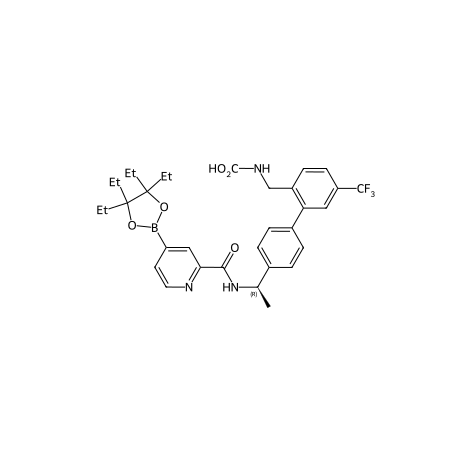 CCC1(CC)OB(c2ccnc(C(=O)N[C@H](C)c3ccc(-c4cc(C(F)(F)F)ccc4CNC(=O)O)cc3)c2)OC1(CC)CC